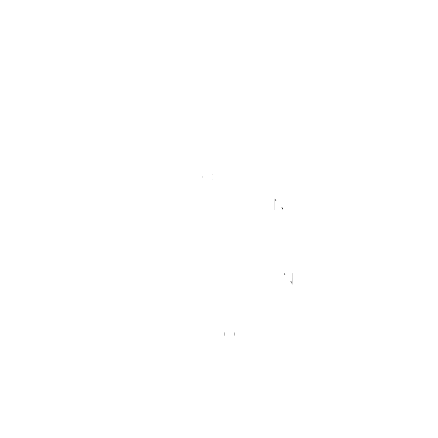 CCOC1=C2c3nccn3COC2C=CC=C1